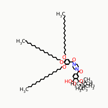 CCCCCCCCCCCCCCCCCCOc1cc(C(=O)N2CCN(C(=O)c3ccc(C(=O)O)c(CO[Si](C(C)C)(C(C)C)C(C)C)c3)CC2)cc(OCCCCCCCCCCCCCCCCCC)c1OCCCCCCCCCCCCCCCCCC